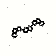 c1cnc2c(c1)ccc1ccc(-c3ccc4ccc(-c5ccc6ccc7cccnc7c6n5)nc4n3)nc12